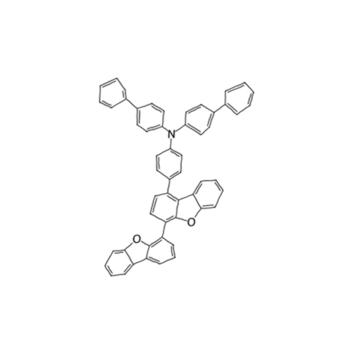 c1ccc(-c2ccc(N(c3ccc(-c4ccccc4)cc3)c3ccc(-c4ccc(-c5cccc6c5oc5ccccc56)c5oc6ccccc6c45)cc3)cc2)cc1